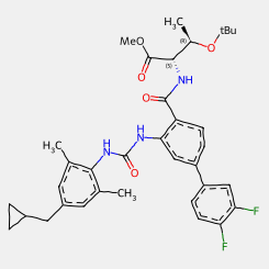 COC(=O)[C@@H](NC(=O)c1ccc(-c2ccc(F)c(F)c2)cc1NC(=O)Nc1c(C)cc(CC2CC2)cc1C)[C@@H](C)OC(C)(C)C